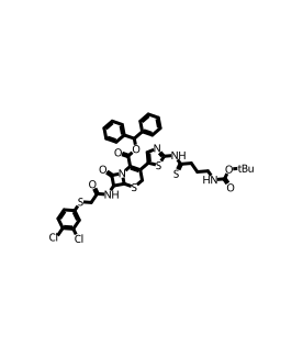 CC(C)(C)OC(=O)NCCCC(=S)Nc1ncc(C2=C(C(=O)OC(c3ccccc3)c3ccccc3)N3C(=O)C(NC(=O)CSc4ccc(Cl)c(Cl)c4)C3SC2)s1